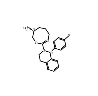 N[C@H]1CCC/N=C(/N2CCc3ccccc3[C@@H]2c2ccc(F)cc2)OC1